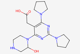 O=C(O)Cc1c(N2CCCC2)nc(N2CCCC2)nc1N1CCNCC1O